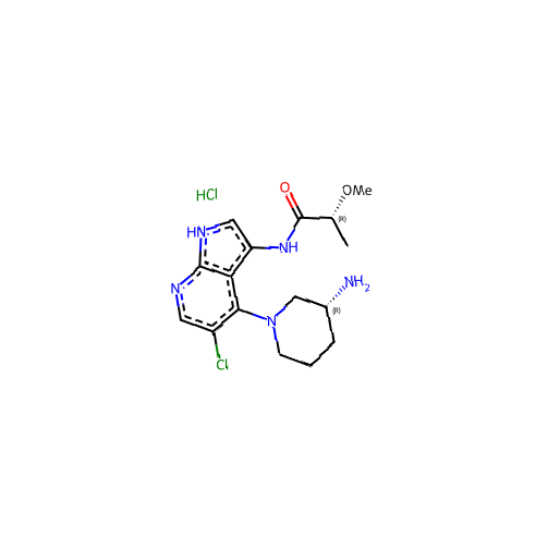 CO[C@H](C)C(=O)Nc1c[nH]c2ncc(Cl)c(N3CCC[C@@H](N)C3)c12.Cl